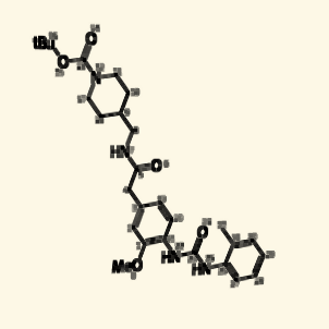 COc1cc(CC(=O)NCC2CCN(C(=O)OC(C)(C)C)CC2)ccc1NC(=O)Nc1ccccc1C